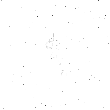 C#CCNC(=O)c1cc(-c2ncnc3[nH]ccc23)c[nH]1